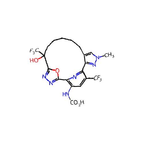 Cn1cc2c(n1)-c1nc(c(NC(=O)O)cc1C(F)(F)F)-c1nnc(o1)C(O)(C(F)(F)F)CCCCC2